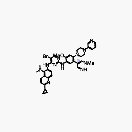 CN/C=C(\C=N)c1cc(Nc2ncc(Br)c(Nc3ccc4nc(C5CC5)ccc4c3P(C)C)n2)c(OC)cc1N1CCN(c2cccnc2)CC1